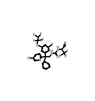 N#CC(NC(=O)NCC(c1ccccc1)(c1cc(F)cc(OC(F)(F)C(F)F)c1)c1ccc(Cl)cn1)C(F)(F)F